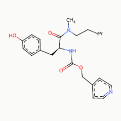 CC(C)CCN(C)C(=O)[C@H](Cc1ccc(O)cc1)NC(=O)OCc1ccncc1